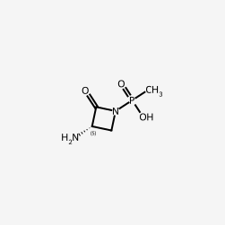 CP(=O)(O)N1C[C@H](N)C1=O